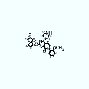 COc1ccccc1N1CCc2c(nc(OC[C@@]34CCCN3C[C@H](F)C4)nc2N2CCNCC2)C1=O